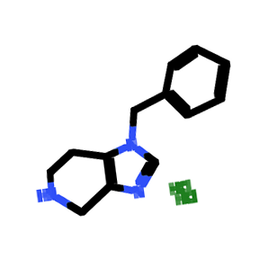 Cl.Cl.c1ccc(Cn2cnc3c2CCNC3)cc1